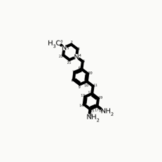 CN1CCN(Cc2cccc(Cc3ccc(N)c(N)c3)c2)CC1